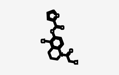 O=C(Oc1ccc2c(c1Cl)CCCN2C(=O)CCl)c1ccco1